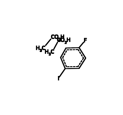 CC(=O)O.CC(=O)O.Fc1ccc(I)cc1